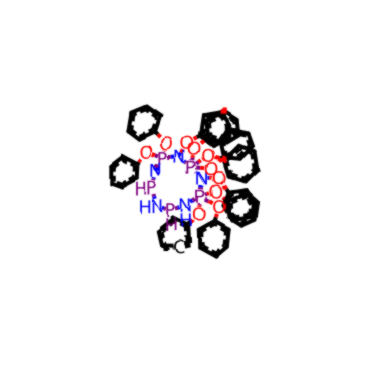 c1ccc(ON2P(Oc3ccccc3)(Oc3ccccc3)=NPNPNP(Oc3ccccc3)(Oc3ccccc3)(Oc3ccccc3)N(Oc3ccccc3)P2(Oc2ccccc2)(Oc2ccccc2)Oc2ccccc2)cc1